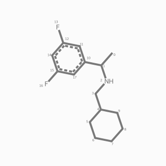 CC(NCC1CCCCC1)c1cc(F)cc(F)c1